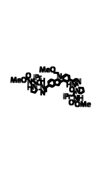 COCCn1c2c(c3cc(-c4cnc([C@@H]5CCCN5C(=O)[C@@H](NC(=O)OC)C(C)C)[nH]4)ccc31)Cc1cc(-c3cnc([C@@H]4CCCN4C(=O)C(NC(=O)OC)C(C)C)[nH]3)ccc1-2